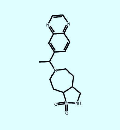 CC(c1ccc2nccnc2c1)N1CCC2CNS(=O)(=O)C2CC1